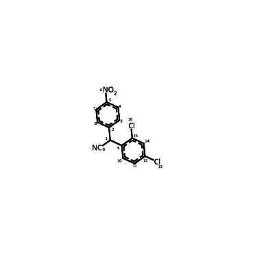 N#CC(c1ccc([N+](=O)[O-])cc1)c1ccc(Cl)cc1Cl